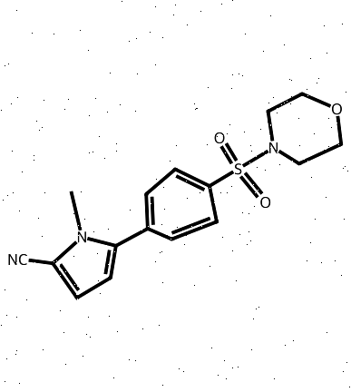 Cn1c(C#N)ccc1-c1ccc(S(=O)(=O)N2CCOCC2)cc1